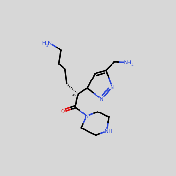 NCCCC[C@@H](C(=O)N1CCNCC1)C1C=C(CN)N=N1